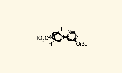 CC(C)COc1cc(N2C[C@@H]3C[C@H]2CN3C(=O)O)ncn1